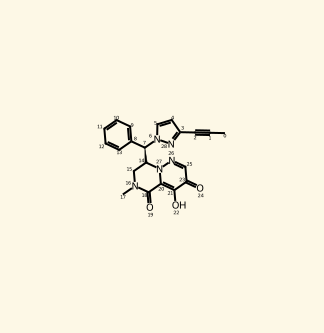 CC#Cc1ccn([C@H](c2ccccc2)C2CN(C)C(=O)c3c(O)c(=O)cnn32)n1